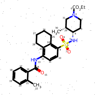 CCOC(=O)N1CC[C@H](NS(=O)(=O)c2ccc(NC(=O)c3ccccc3C)c3c2CCCC3)[C@H](C)C1